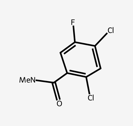 CNC(=O)c1cc(F)c(Cl)cc1Cl